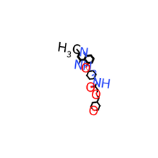 Cc1cc(N)c2c(O[C@H]3CC[C@H](NC(=O)COCC4CCOCC4)CC3)cccc2n1